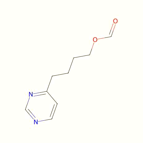 O=COCCCCc1ccncn1